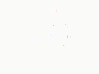 CCc1c(C#N)c(S[C@@H](C(N)=O)c2ccc(F)cc2)nc(N2CC[C@H](O)C2)c1C#N